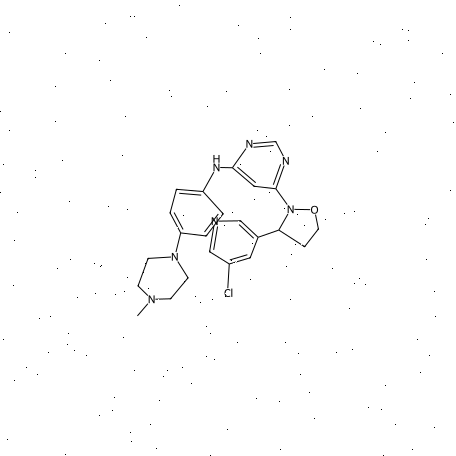 CN1CCN(c2ccc(Nc3cc(N4OCCC4c4cncc(Cl)c4)ncn3)cc2)CC1